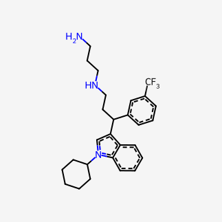 NCCCNCCC(c1cccc(C(F)(F)F)c1)c1cn(C2CCCCC2)c2ccccc12